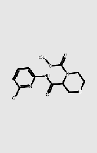 CC(C)(C)OC(=O)N1CCOCC1C(=O)Nc1cccc(Cl)n1